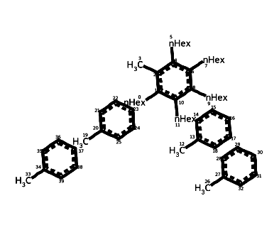 CCCCCCc1c(C)c(CCCCCC)c(CCCCCC)c(CCCCCC)c1CCCCCC.Cc1ccccc1.Cc1ccccc1.Cc1ccccc1.Cc1ccccc1